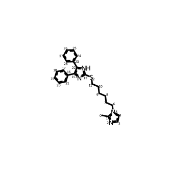 Cc1nccn1CCCCCCSc1nc(-c2ccccc2)c(-c2ccccc2)[nH]1